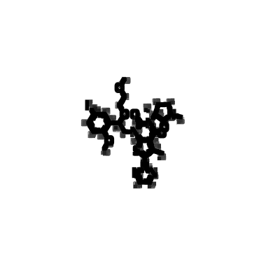 COCCO[C@@H](Cn1c(=O)n([C@@]2(C)CCN(C)C2=O)c(=O)c2c(C)c(-n3nccn3)sc21)c1cc(F)ccc1OC